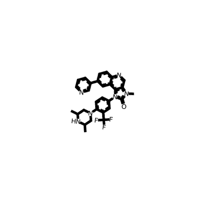 CC1CN(c2ccc(-n3c(=O)n(C)c4cnc5ccc(-c6cccnc6)cc5c43)cc2C(F)(F)F)CC(C)N1